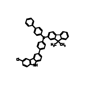 CC1(C)c2ccccc2-c2ccc(N(c3ccc(-c4ccccc4)cc3)c3ccc(-c4ccc5[nH]c6ccc(Cl)cc6c5c4)cc3)cc21